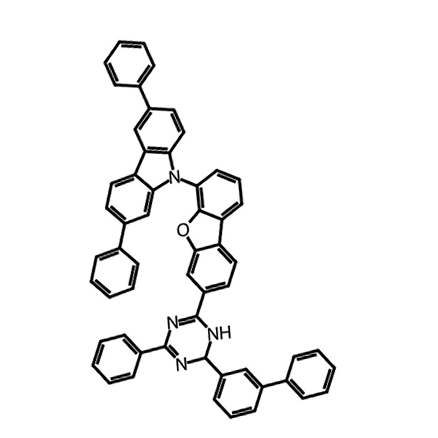 c1ccc(C2=NC(c3cccc(-c4ccccc4)c3)NC(c3ccc4c(c3)oc3c(-n5c6ccc(-c7ccccc7)cc6c6ccc(-c7ccccc7)cc65)cccc34)=N2)cc1